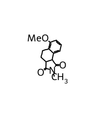 COc1cccc2c1CCC1C(=O)N(C)C(=O)C21